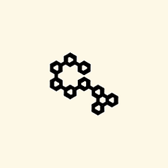 c1ccc(-c2cccc(-c3cccc(-c4cccc(-c5cccc(-c6cccc(-c7ccc8c9ccccc9c9ccccc9c8c7)c6)c5)c4)c3)c2)cc1